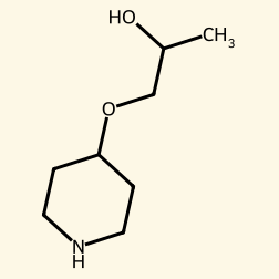 CC(O)COC1CCNCC1